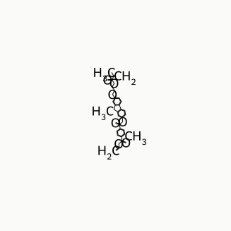 C=COC(=O)c1ccc(C(=O)Oc2ccc3c(c2)C(C)c2cc(OCCOC(=O)C(=C)C)ccc2-3)cc1C